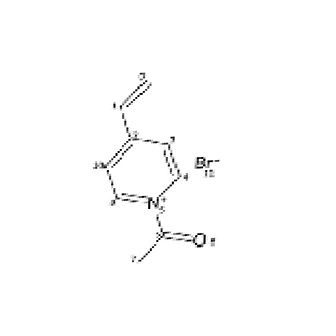 C=Cc1cc[n+](C(C)=O)cc1.[Br-]